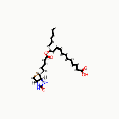 CCCCCC[C@H](C/C=C\CCCCCCCC(=O)O)OC(=O)CCCC[C@@H]1SC[C@@H]2NC(=O)N[C@@H]21